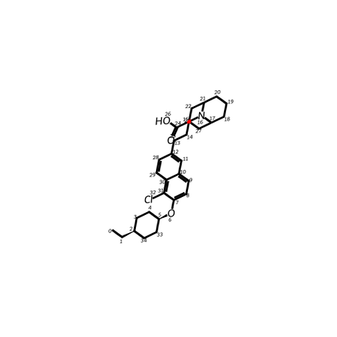 CC[C@H]1CC[C@@H](Oc2ccc3cc(CCCN4C5CCCC4CC(C(=O)O)C5)ccc3c2Cl)CC1